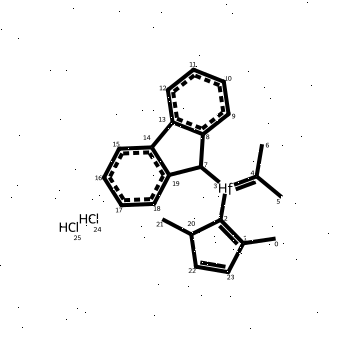 CC1=[C]([Hf](=[C](C)C)[CH]2c3ccccc3-c3ccccc32)C(C)C=C1.Cl.Cl